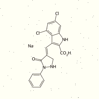 O=C(O)c1[nH]c2cc(Cl)cc(Cl)c2c1C=C1CNN(c2ccccc2)C1=O.[Na]